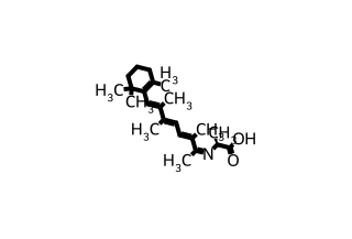 CC1=C(/C=C(C)/C(C)=C/C=C(C)/C(C)=N\[C@@H](C)C(=O)O)C(C)(C)CCC1